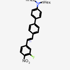 CCCCCCN(CCCCCC)c1ccc(-c2ccc(/C=C/c3ccc([N+](=O)[O-])c(F)c3)cc2)cc1